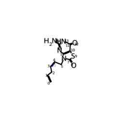 C=CC/C=C\Cn1c(=O)sc2c(=O)[nH]c(N)nc21